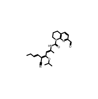 CC/C=C/C(C#N)=C(\C=C(/C)NC(=O)N1CCCc2ccc(C=O)nc21)OC(C)C